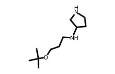 CC(C)(C)OCCCNC1CCNC1